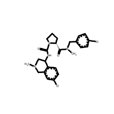 CN1Cc2cc(Cl)ccc2C(NC(=O)N2CCC[C@@H]2C(=O)N(C)Cc2ccc(Cl)cc2)C1